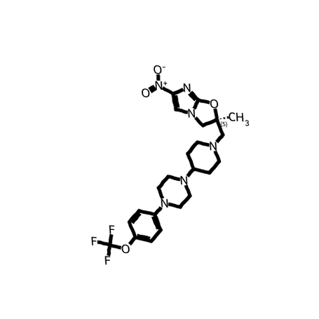 C[C@]1(CN2CCC(N3CCN(c4ccc(OC(F)(F)F)cc4)CC3)CC2)Cn2cc([N+](=O)[O-])nc2O1